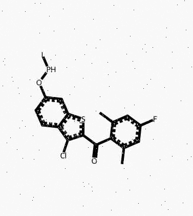 Cc1cc(F)cc(C)c1C(=O)c1sc2cc(OPI)ccc2c1Cl